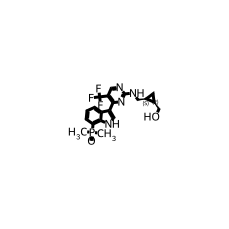 CP(C)(=O)c1cccc2c(-c3nc(NC[C@H]4C[C@H]4CO)ncc3C(F)(F)F)c[nH]c12